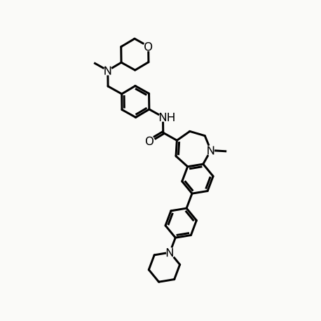 CN1CCC(C(=O)Nc2ccc(CN(C)C3CCOCC3)cc2)=Cc2cc(-c3ccc(N4CCCCC4)cc3)ccc21